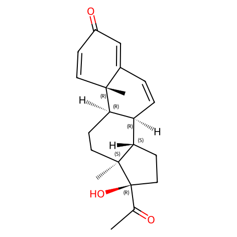 CC(=O)[C@@]1(O)CC[C@H]2[C@@H]3C=CC4=CC(=O)C=C[C@@]4(C)[C@@H]3CC[C@@]21C